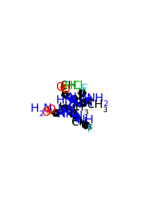 CN(c1ccc2c(c1)nc(NCc1ccc(F)cc1)n2C)c1ccnc(Nc2ccc(CS(N)(=O)=O)cc2)n1.CN(c1ccnc(Nc2ccc(CS(C)(=O)=O)cc2)n1)c1ccc2c(nc(N)n2C)c1Cc1ccc(F)cc1.Cl